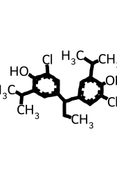 CCC(c1cc(Cl)c(O)c(C(C)C)c1)c1cc(Cl)c(O)c(C(C)C)c1